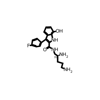 NCCC[C@H](N)CNC(=O)c1[nH]c2c(O)cccc2c1-c1ccc(F)cc1